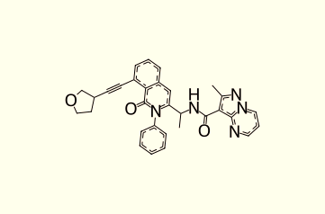 Cc1nn2cccnc2c1C(=O)NC(C)c1cc2cccc(C#CC3CCOC3)c2c(=O)n1-c1ccccc1